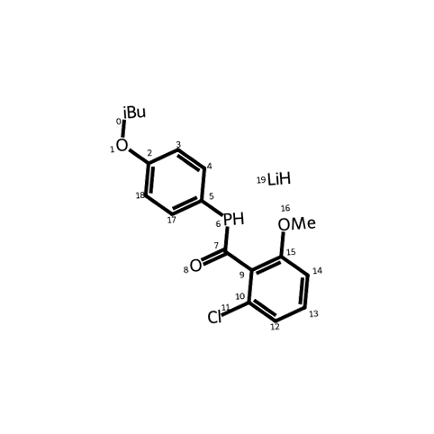 CCC(C)Oc1ccc(PC(=O)c2c(Cl)cccc2OC)cc1.[LiH]